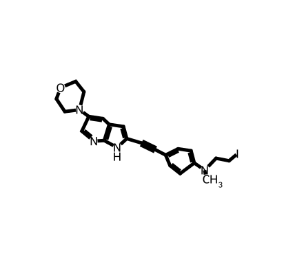 CN(CCI)c1ccc(C#Cc2cc3cc(N4CCOCC4)cnc3[nH]2)cc1